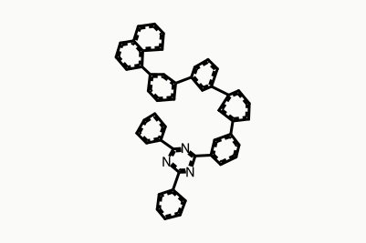 c1ccc(-c2nc(-c3ccccc3)nc(-c3cccc(-c4cccc(-c5cccc(-c6cccc(-c7cccc8ccccc78)c6)c5)c4)c3)n2)cc1